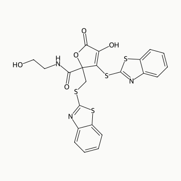 O=C1OC(CSc2nc3ccccc3s2)(C(=O)NCCO)C(Sc2nc3ccccc3s2)=C1O